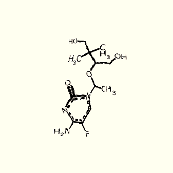 CC(OC(CO)C(C)(C)CO)n1cc(F)c(N)nc1=O